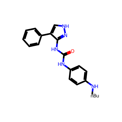 CCCCNc1ccc(NC(=O)Nc2n[nH]cc2-c2ccccc2)cc1